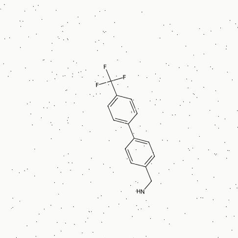 [NH]Cc1ccc(-c2ccc(C(F)(F)F)cc2)cc1